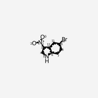 O=[N+]([O-])c1c[nH]c2ccc(Br)cc12